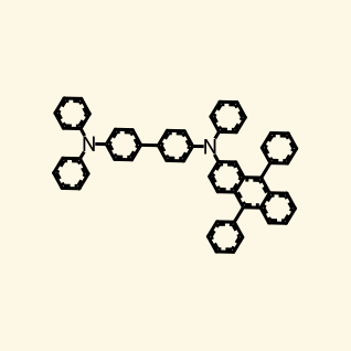 c1ccc(-c2c3ccccc3c(-c3ccccc3)c3cc(N(c4ccccc4)c4ccc(-c5ccc(N(c6ccccc6)c6ccccc6)cc5)cc4)ccc23)cc1